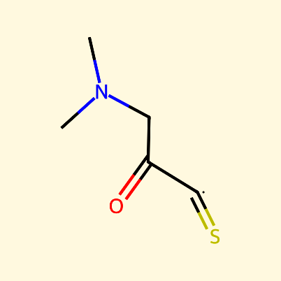 CN(C)CC(=O)[C]=S